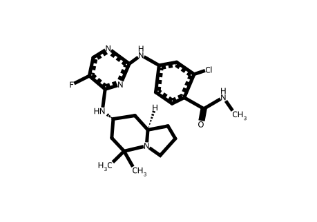 CNC(=O)c1ccc(Nc2ncc(F)c(N[C@@H]3C[C@H]4CCCN4C(C)(C)C3)n2)cc1Cl